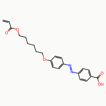 C=CC(=O)OCCCCCCOc1ccc(N=Nc2ccc(C(=O)O)cc2)cc1